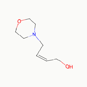 OC/C=C\CN1CCOCC1